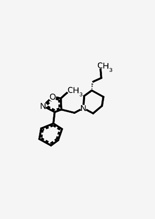 CCC[C@@H]1CCCN(Cc2c(-c3ccccc3)noc2C)C1